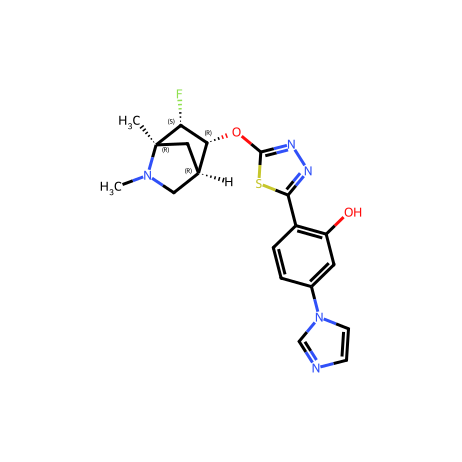 CN1C[C@H]2C[C@]1(C)[C@H](F)[C@@H]2Oc1nnc(-c2ccc(-n3ccnc3)cc2O)s1